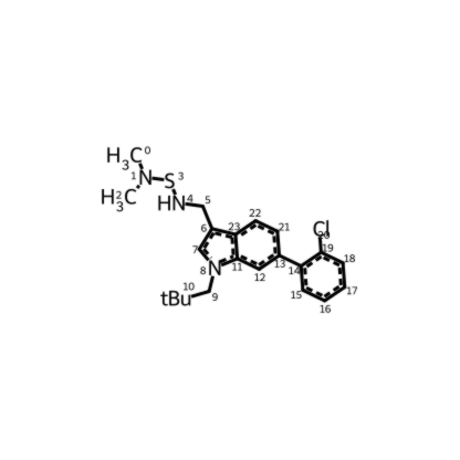 CN(C)SNCc1cn(CC(C)(C)C)c2cc(-c3ccccc3Cl)ccc12